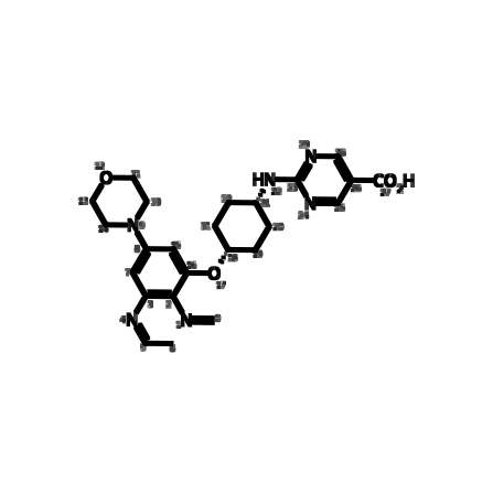 C=Nc1c(/N=C\C)cc(N2CCOCC2)cc1O[C@H]1CC[C@@H](Nc2ncc(C(=O)O)cn2)CC1